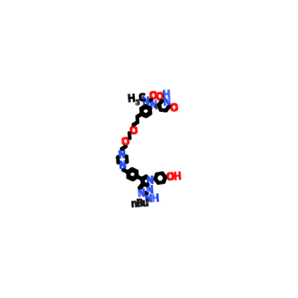 CCCCNc1ncc2c(-c3ccc(CN4CCN(CCOCCOCCCc5ccc6c(c5)n(C)c(=O)n6[C@H]5CCC(=O)NC5=O)CC4)cc3)cn([C@H]3CC[C@H](O)CC3)c2n1